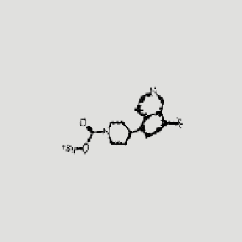 CC(C)(C)OC(=O)N1CCC(c2ccc(F)c3cnccc23)CC1